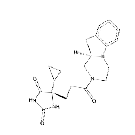 O=C1NC(=O)[C@](CCC(=O)N2CCN3c4ccccc4C[C@@H]3C2)(C2CC2)N1